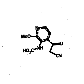 COc1nccc(C(=O)CC#N)c1NC(=O)O